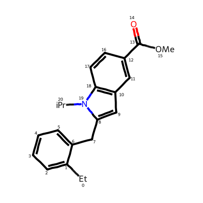 CCc1ccccc1Cc1cc2cc(C(=O)OC)ccc2n1C(C)C